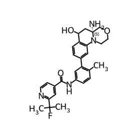 Cc1ccc(NC(=O)c2ccnc(C(C)(C)F)c2)cc1-c1ccc2c(c1)N1CCOC[C@]1(N)CC2O